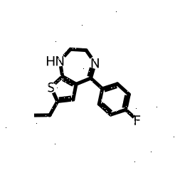 CCc1cc2c(s1)NCCN=C2c1ccc(F)cc1